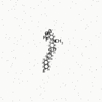 CN(c1ccc([N+](=O)[O-])c(C(F)(F)F)c1)C1CCC(OC(C=O)N2CCN(c3ccc4cc(F)ccc4c3)CC2)CC1